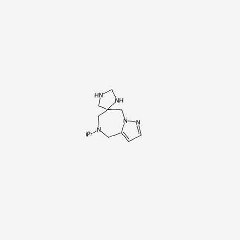 CC(C)N1Cc2ccnn2CC2(CNCN2)C1